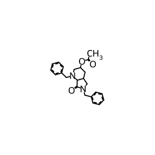 CC(=O)OC1CC2CN(Cc3ccccc3)C(=O)C2N(Cc2ccccc2)C1